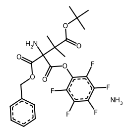 CC(C)(C)OC(=O)C(C)(C)C(N)(C(=O)OCc1ccccc1)C(=O)Oc1c(F)c(F)c(F)c(F)c1F.N